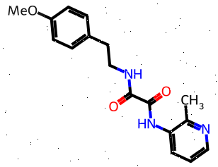 COc1ccc(CCNC(=O)C(=O)Nc2cccnc2C)cc1